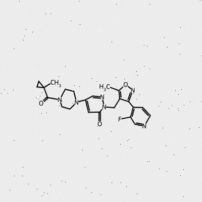 Cc1onc(-c2ccncc2F)c1Cn1ncc(N2CCN(C(=O)C3(C)CC3)CC2)cc1=O